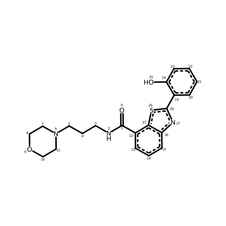 O=C(NCCCN1CCOCC1)c1cccc2nc(-c3ccccc3O)sc12